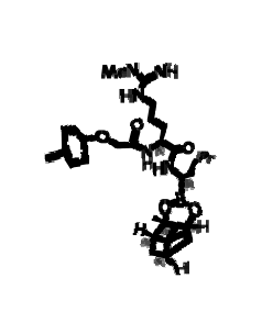 CNC(=N)NCCC[C@H](NC(=O)COc1ccc(C)cc1)C(=O)N[C@@H](CC(C)C)B1O[C@@H]2C[C@@H]3C[C@@H](C3(C)C)[C@]2(C)O1